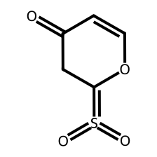 O=C1C=COC(=S(=O)=O)C1